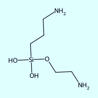 NCCC[Si](O)(O)OCCN